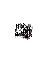 COCOc1cc(Oc2nc3nc(OC[C@@]45CCCN4C[C@H](F)C5)nc(N4CC5CCC(C4)N5C(=O)OC(C)(C)C)c3n2C2CCC2)c2c(C#C[Si](C(C)C)(C(C)C)C(C)C)c(F)ccc2c1